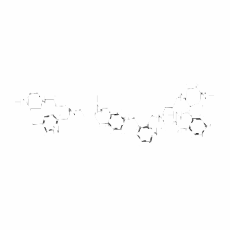 Cc1ccc(CN(CCCN2CCNCC2)CC[C@H]2Cc3ccc(Cc4cccnc4CN(CCCN4CCNCC4)C[C@H]4Cc5ccccc5CN4)cc3CN2)nc1